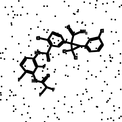 NC(=O)C1(c2ccc(Cl)c(C(=O)Nc3ccc(F)c(NC(=O)C(F)F)c3F)c2)C(c2cccc(Cl)c2)C1(Cl)Cl